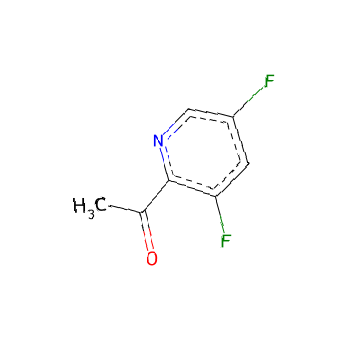 CC(=O)c1ncc(F)cc1F